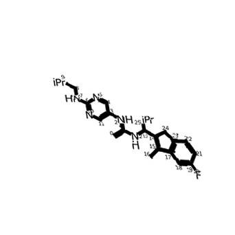 C=C(Nc1cnc(NCC(C)C)nc1)NC(C1=C(C)c2cc(F)ccc2C1)C(C)C